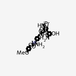 COc1ccc(OC(=O)/N=C(\N)c2ccc(CNC(=O)Cn3c(-c4cc(N)cc(O)c4)cnc(NC(C)C)c3=O)cc2)cc1